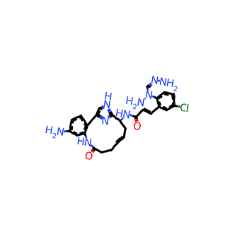 N/N=C\N(N)c1ccc(Cl)cc1/C=C/C(=O)N[C@H]1C/C=C/CCC(=O)Nc2cc(N)ccc2-c2c[nH]c1n2